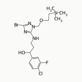 C[Si](C)(C)CCOCn1nc(Br)nc1NCCC(O)c1ccc(Cl)c(F)c1